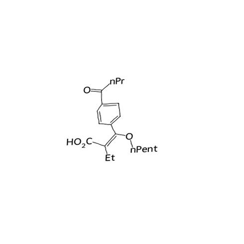 CCCCCOC(=C(CC)C(=O)O)c1ccc(C(=O)CCC)cc1